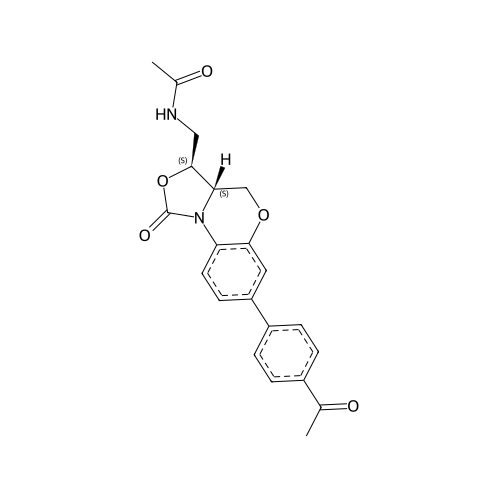 CC(=O)NC[C@@H]1OC(=O)N2c3ccc(-c4ccc(C(C)=O)cc4)cc3OC[C@@H]12